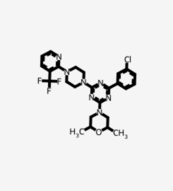 CC1CN(c2nc(-c3cccc(Cl)c3)nc(N3CCN(c4ncccc4C(F)(F)F)CC3)n2)CC(C)O1